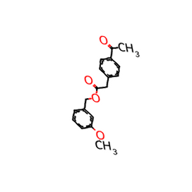 COc1cccc(COC(=O)Cc2ccc(C(C)=O)cc2)c1